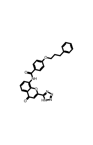 O=C(Nc1cccc2c(=O)cc(-c3nnn[nH]3)oc12)c1ccc(OCCCc2ccccc2)cc1